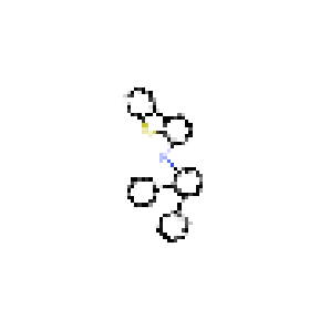 c1ccc(-c2cccc(Nc3cccc4c3sc3ccccc34)c2-c2ccccc2)cc1